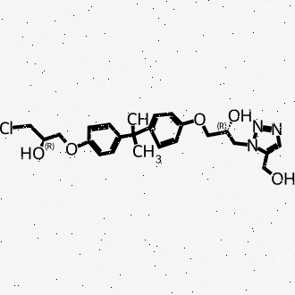 CC(C)(c1ccc(OC[C@@H](O)CCl)cc1)c1ccc(OC[C@H](O)Cn2nncc2CO)cc1